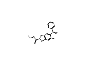 CCOC(=O)C1Oc2cc(C)c([S+]([O-])c3ccccc3)cc2O1